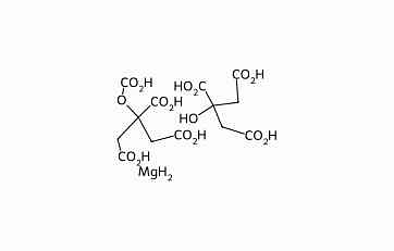 O=C(O)CC(CC(=O)O)(OC(=O)O)C(=O)O.O=C(O)CC(O)(CC(=O)O)C(=O)O.[MgH2]